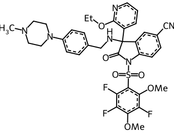 CCOc1ncccc1C1(NCc2ccc(N3CCN(C)CC3)cc2)C(=O)N(S(=O)(=O)c2c(F)c(F)c(OC)c(F)c2OC)c2ccc(C#N)cc21